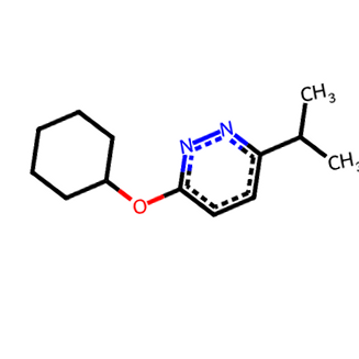 CC(C)c1ccc(OC2CCCCC2)nn1